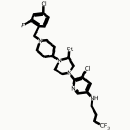 CCC1CN(c2ncc(NCCCC(F)(F)F)cc2Cl)CCN1C1CCN(Cc2ccc(Cl)cc2F)CC1